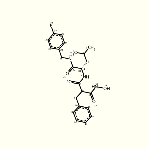 CC(C)C[C@H](NC(=O)C(Cc1ccccc1)C(=O)NO)C(=O)NCc1ccc(F)cc1